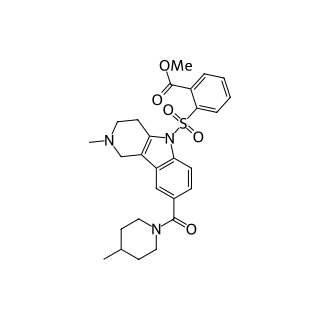 COC(=O)c1ccccc1S(=O)(=O)n1c2c(c3cc(C(=O)N4CCC(C)CC4)ccc31)CN(C)CC2